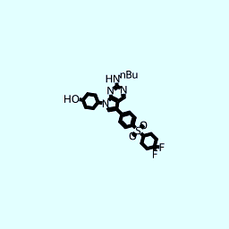 CCCCNc1ncc2c(-c3ccc(S(=O)(=O)C4CCC(F)(F)CC4)cc3)cn(C3CCC(O)CC3)c2n1